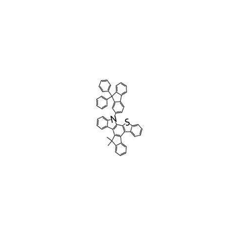 CC1(C)c2ccccc2-c2c1c1c3ccccc3n(-c3ccc4c(c3)C(c3ccccc3)(c3ccccc3)c3ccccc3-4)c1c1sc3ccccc3c21